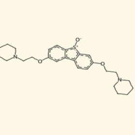 [O-][s+]1c2ccc(OCCN3CCCCC3)cc2c2ccc(OCCN3CCCCC3)cc21